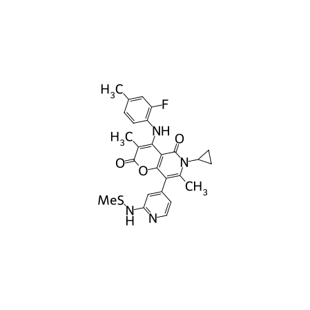 CSNc1cc(-c2c(C)n(C3CC3)c(=O)c3c(Nc4ccc(C)cc4F)c(C)c(=O)oc23)ccn1